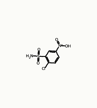 NS(=O)(=O)c1cc([N+](=O)O)ccc1Cl